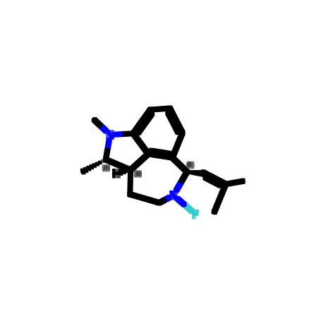 CC(C)=C[C@@H]1c2cccc3c2[C@@H](CCN1F)[C@H](C)N3C